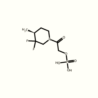 C[C@H]1CCN(C(=O)COP(=O)(O)O)CC1(F)F